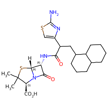 CC1(C)S[C@@H]2[C@H](NC(=O)C(CC3CCCC4CCCCC43)c3csc(N)n3)C(=O)N2[C@H]1C(=O)O